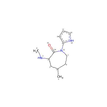 CNC1CC(C)CCN(c2ccc[nH]2)C1=O